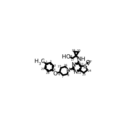 Cc1ccc(OC2CCN(c3nc4c(c(NC5(CO)CC5)n3)[S+]([O-])CC4)CC2)cc1